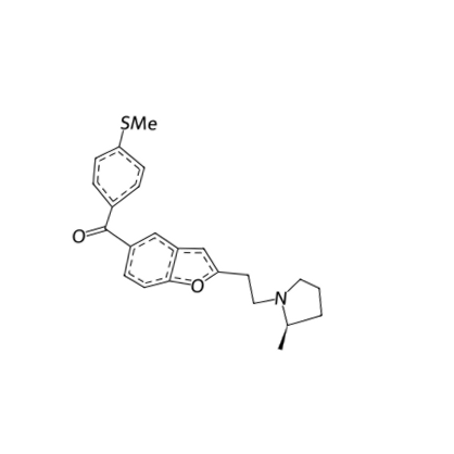 CSc1ccc(C(=O)c2ccc3oc(CCN4CCC[C@H]4C)cc3c2)cc1